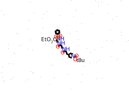 CCOC(=O)[C@H](CNC(=O)CCNC(=O)CCC1CCN(C(=O)OC(C)(C)C)CC1)NS(=O)(=O)c1ccccc1